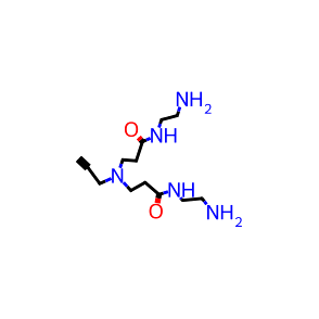 C#CCN(CCC(=O)NCCN)CCC(=O)NCCN